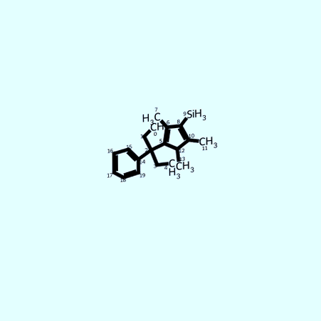 CCC(CC)(C1=C(C)C([SiH3])=C(C)C1C)c1ccccc1